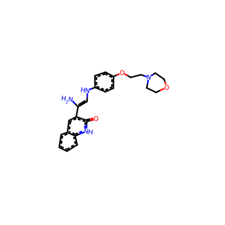 N/C(=C\Nc1ccc(OCCN2CCOCC2)cc1)c1cc2ccccc2[nH]c1=O